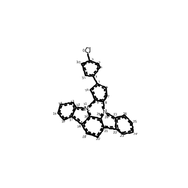 Clc1ccc(-c2ccc3c(c2)n2c4ccccc4c4ccc5c6ccccc6n3c5c42)cc1